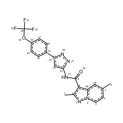 Cc1ccn2nc(C)c(C(=O)Nc3cn(-c4ccc(OC(F)(F)F)cc4)nn3)c2c1